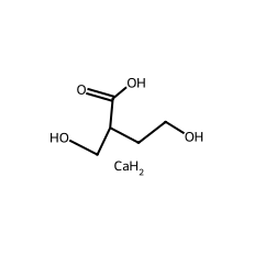 O=C(O)C(CO)CCO.[CaH2]